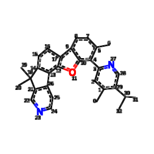 Cc1cc(-c2c(C)ccc3c2oc2c4c(ccc23)C(C)(C)c2cnccc2-4)ncc1C(C)C